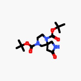 CC(C)(C)OC(=O)N1CCN(C(=O)OC(C)(C)C)C2(CNC(=O)C2)C1